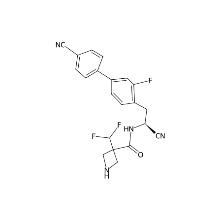 N#Cc1ccc(-c2ccc(C[C@@H](C#N)NC(=O)C3(C(F)F)CNC3)c(F)c2)cc1